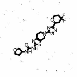 O=C(Nc1nc2c(s1)CN(c1nc(C3CC(F)(F)CCO3)no1)CC2)NC1CCOC1